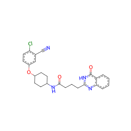 N#Cc1cc(OC2CCC(NC(=O)CCCc3nc4ccccc4c(=O)[nH]3)CC2)ccc1Cl